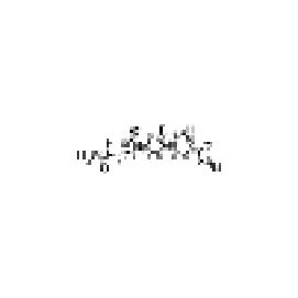 CC(=O)NC[C@H]1CN(c2ccc(N3CCNN(C(=O)CC#N)CC3)c(F)c2)C(=O)O1